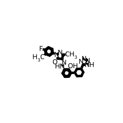 CC1=NN(c2ccc(F)c(C)c2)C(=O)C1=NNc1cccc(C2CCCC(c3nnn[nH]3)C2)c1O